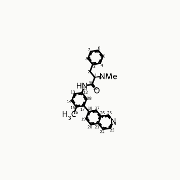 CN[C@H](Cc1ccccc1)C(=O)Nc1ccc(C)c(-c2ccc3ccncc3c2)c1